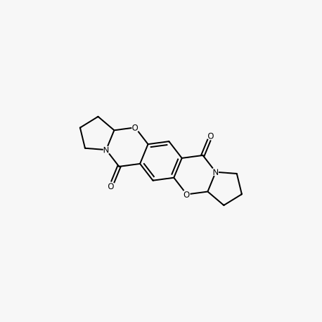 O=C1c2cc3c(cc2OC2CCCN12)C(=O)N1CCCC1O3